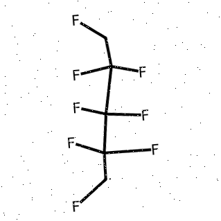 F[CH]C(F)(F)C(F)(F)C(F)(F)CF